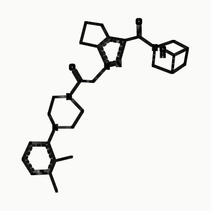 Cc1cccc(N2CCN(C(=O)Cn3nc(C(=O)N4CC5CC(C4)C5O)c4c3CCC4)CC2)c1C